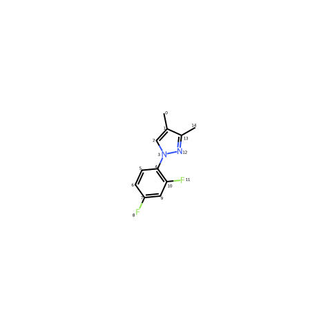 Cc1cn(-c2ccc(F)cc2F)nc1C